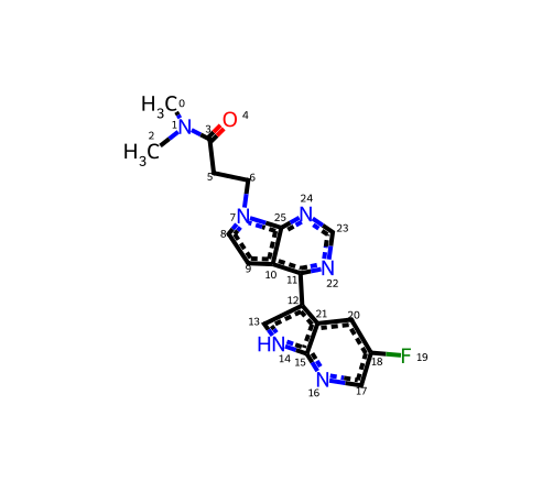 CN(C)C(=O)CCn1ccc2c(-c3c[nH]c4ncc(F)cc34)ncnc21